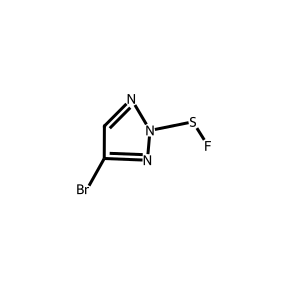 FSn1ncc(Br)n1